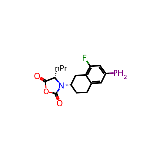 CCC[C@H]1C(=O)OC(=O)N1[C@H]1CCc2cc(P)cc(F)c2C1